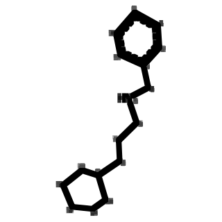 c1ccc(CNCCCC2CCCCC2)cc1